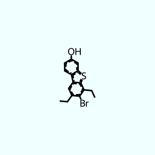 CCc1cc2c(sc3cc(O)ccc32)c(CC)c1Br